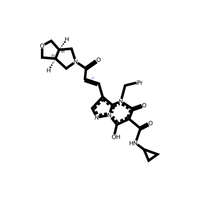 CC(C)Cn1c(=O)c(C(=O)NC2CC2)c(O)n2ncc(/C=C/C(=O)N3C[C@H]4COC[C@H]4C3)c12